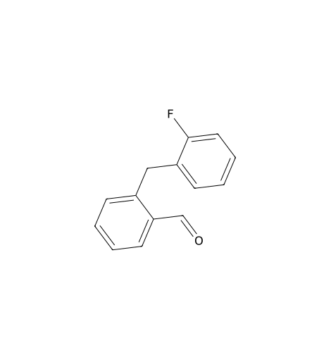 O=Cc1ccccc1Cc1ccccc1F